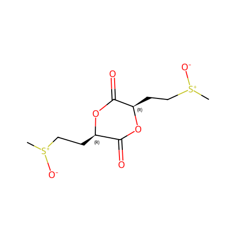 C[S+]([O-])CC[C@H]1OC(=O)[C@@H](CC[S+](C)[O-])OC1=O